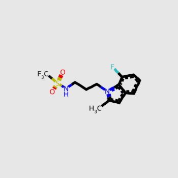 Cc1cc2cccc(F)c2n1CCCNS(=O)(=O)C(F)(F)F